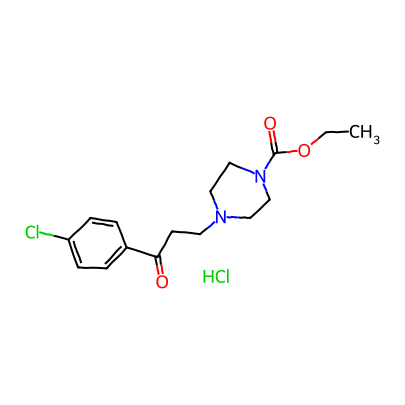 CCOC(=O)N1CCN(CCC(=O)c2ccc(Cl)cc2)CC1.Cl